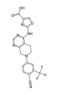 N#Cc1ccc(N2CCc3c(ncnc3Nc3nc(C(=O)O)co3)C2)cc1C(F)(F)F